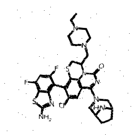 CCN1CCN(CC2CSc3c(-c4c(F)cc(F)c5sc(N)nc45)c(Cl)cc4c(N5CC6CCC(C5)N6)nc(=O)n2c34)CC1